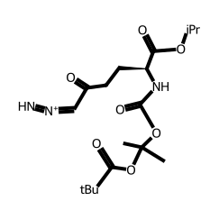 CC(C)OC(=O)[C@H](CCC(=O)C=[N+]=N)NC(=O)OC(C)(C)OC(=O)C(C)(C)C